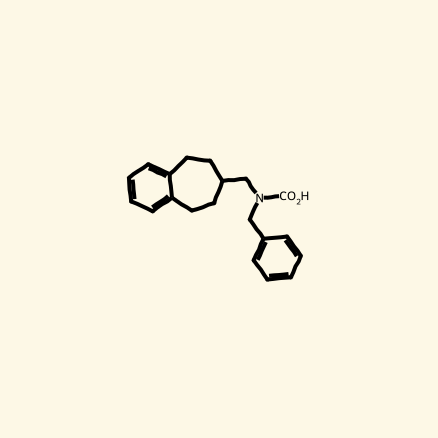 O=C(O)N(Cc1ccccc1)CC1CCc2ccccc2CC1